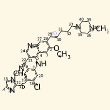 COc1cc2c(Nc3ccc(Sc4nccn4C)c(Cl)c3)c(C#N)cnc2cc1/C=C/CCCN1CCN(C)CC1